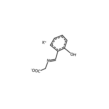 O=C([O-])CN=Cc1ccccc1O.[K+]